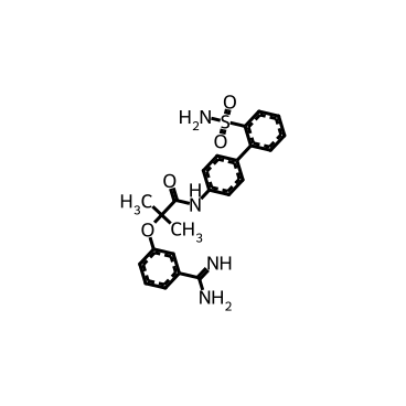 CC(C)(Oc1cccc(C(=N)N)c1)C(=O)Nc1ccc(-c2ccccc2S(N)(=O)=O)cc1